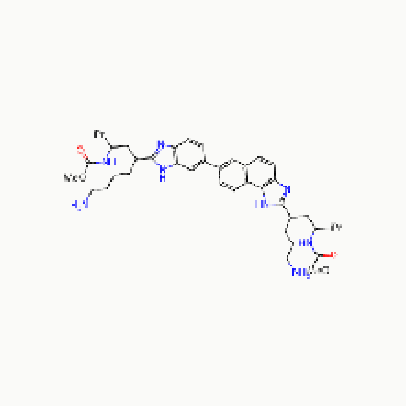 COC(=O)NC(CC(CCCCN)c1nc2ccc(-c3ccc4c(ccc5nc(C(CCCN)CC(NC(=O)OC)C(C)C)[nH]c54)c3)cc2[nH]1)C(C)C